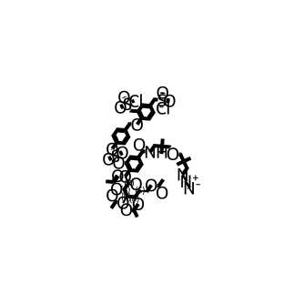 CC(=O)OC[C@@H]1O[C@H](Oc2ccc(C(=O)NCC(C)(C)COCC(C)(C)CN=[N+]=[N-])cc2OS(=O)(=O)Oc2ccc(COc3ccc(CS(=O)(=O)Cl)cc3CS(=O)(=O)Cl)cc2)[C@@H](OC(C)=O)[C@H](OC(C)=O)[C@@H]1OC(C)=O